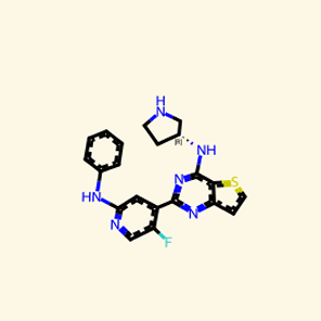 Fc1cnc(Nc2ccccc2)cc1-c1nc(N[C@@H]2CCNC2)c2sccc2n1